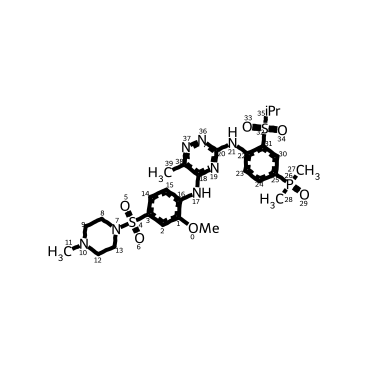 COc1cc(S(=O)(=O)N2CCN(C)CC2)ccc1Nc1nc(Nc2ccc(P(C)(C)=O)cc2S(=O)(=O)C(C)C)nnc1C